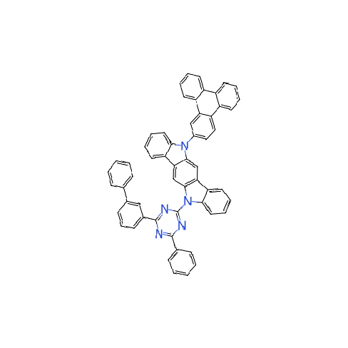 c1ccc(-c2cccc(-c3nc(-c4ccccc4)nc(-n4c5ccccc5c5cc6c(cc54)c4ccccc4n6-c4ccc5c6ccccc6c6ccccc6c5c4)n3)c2)cc1